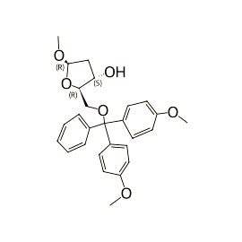 COc1ccc(C(OC[C@H]2O[C@@H](OC)C[C@@H]2O)(c2ccccc2)c2ccc(OC)cc2)cc1